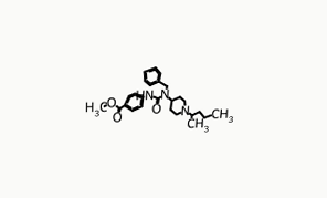 CCCC(C)N1CCC(N(Cc2ccccc2)C(=O)Nc2ccc(C(=O)OC)cc2)CC1